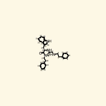 O=C(CNCCc1ccccc1)N[C@H](Cc1c[nH]c2ccccc12)C(=O)NCCc1ccccc1